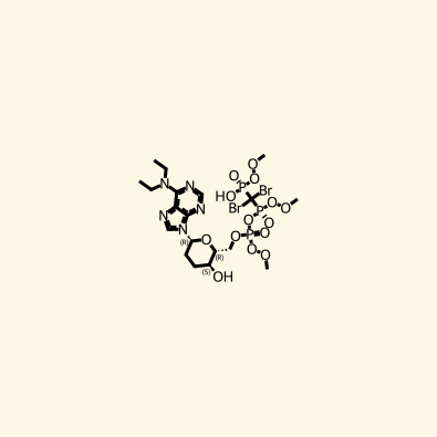 CCN(CC)c1ncnc2c1ncn2[C@H]1CC[C@H](O)[C@@H](COP(=O)(OOC)OP(=O)(OOC)C(Br)(Br)P(=O)(O)OOC)O1